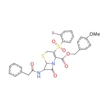 COc1ccc(COC(=O)C2=C(S(=O)(=O)c3ccccc3I)CSC3C(NC(=O)Cc4ccccc4)C(=O)N23)cc1